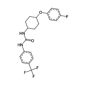 O=C(Nc1ccc(C(F)(F)F)cc1)NC1CCC(Oc2ccc(F)cc2)CC1